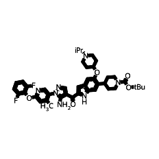 Cc1cc(Oc2c(F)cccc2F)ncc1-n1ncc(C(=O)c2cc3cc(OC4CCN(C(C)C)CC4)c(C4CCN(C(=O)OC(C)(C)C)CC4)cc3[nH]2)c1N